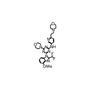 COc1cccc2c1nc(C(F)F)n2-c1nc(Nc2ccc(CCN3CCOCC3)nc2)nc(N2CCOCC2)n1